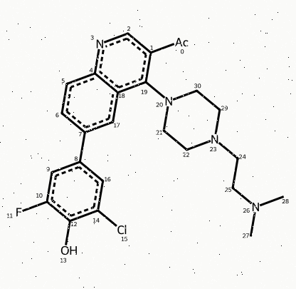 CC(=O)c1cnc2ccc(-c3cc(F)c(O)c(Cl)c3)cc2c1N1CCN(CCN(C)C)CC1